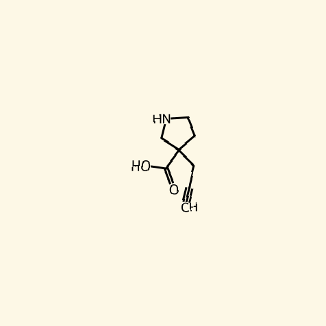 C#CCC1(C(=O)O)CCNC1